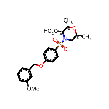 COc1cccc(COc2ccc(S(=O)(=O)N3C[C@H](C)O[C@@H](C)[C@@H]3C(=O)O)cc2)c1